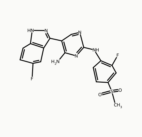 CS(=O)(=O)c1ccc(Nc2ncc(-c3n[nH]c4ccc(F)cc34)c(N)n2)c(F)c1